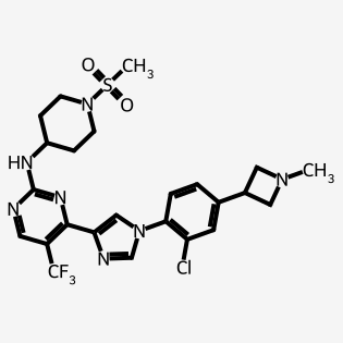 CN1CC(c2ccc(-n3cnc(-c4nc(NC5CCN(S(C)(=O)=O)CC5)ncc4C(F)(F)F)c3)c(Cl)c2)C1